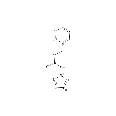 O=C(CCc1ccccn1)On1cncn1